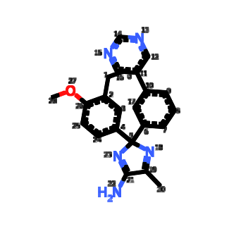 CCc1cc(C2(c3cccc(-c4cncnc4)c3)N=C(C)C(N)=N2)ccc1OC